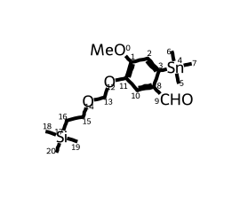 COc1c[c]([Sn]([CH3])([CH3])[CH3])c(C=O)cc1OCOCC[Si](C)(C)C